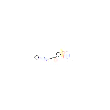 CCCNS(=O)(=O)c1cc(C(=O)CCCCN2CCN(c3ccccc3)CC2)ccc1SC